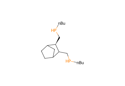 CCCCPCC1C2CCC(C2)[C@H]1CPCCCC